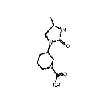 CC1CN(C2CCCN(C(=O)O)C2)C(=O)N1